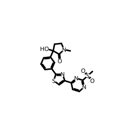 CN1CCC(O)(c2cccc(-c3nc(-c4ccnc(S(C)(=O)=O)n4)cs3)c2)C1=O